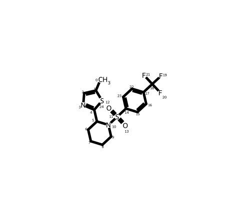 Cc1cnc(C2CCCCN2S(=O)(=O)c2ccc(C(F)(F)F)cc2)s1